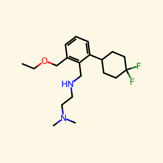 CCOCc1cccc(C2CCC(F)(F)CC2)c1CNCCN(C)C